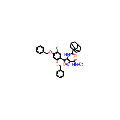 CCNC(=O)c1noc(-c2cc(Cl)c(OCc3ccccc3)cc2OCc2ccccc2)c1NC(=O)C12CC3CC(CC(C3)C1)C2